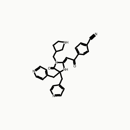 N#Cc1ccc(C(=O)/C=C2\NC(Cc3ccncc3)(Cc3ccncc3)C(=O)N2CC2CCNC2)cc1